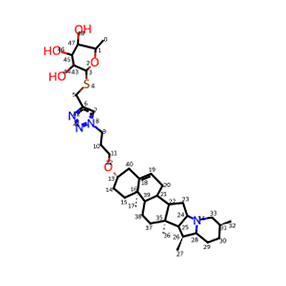 CC1OC(SCc2cn(CCCO[C@H]3CC[C@@]4(C)C(=CCC5C6CC7C([C@H](C)C8CC[C@H](C)CN78)[C@@]6(C)CCC54)C3)nn2)C(O)C(O)C1O